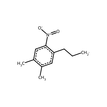 [CH2]CCc1cc(C)c(C)cc1[N+](=O)[O-]